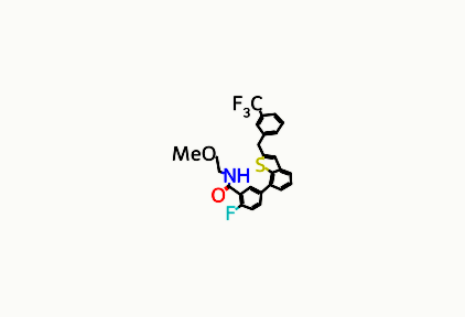 COCCNC(=O)c1cc(-c2cccc3cc(Cc4cccc(C(F)(F)F)c4)sc23)ccc1F